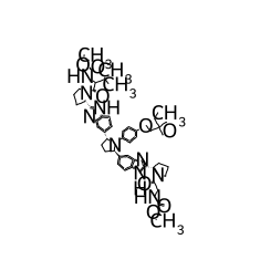 CCC1(COc2ccc(N3[C@@H](c4ccc5[nH]c([C@@H]6CCCN6C(=O)CNC(=O)OC)nc5c4)CC[C@@H]3c3ccc4[nH]c([C@@H]5CCCN5C(=O)C(NC(=O)OC)C(C)C)nc4c3)cc2)COC1